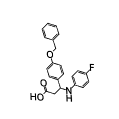 O=C(O)CC(Nc1ccc(F)cc1)c1ccc(OCc2ccccc2)cc1